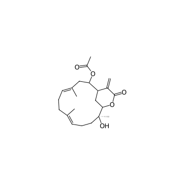 C=C1C(=O)OC2CC1C(OC(C)=O)C/C(C)=C/CC/C(C)=C/CC[C@]2(C)O